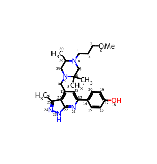 COCCCN1CC(C)(C)N(Cc2cc(-c3ccc(O)cc3)nc3[nH]nc(C)c23)CC1C